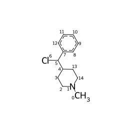 CN1CCC(C(Cl)c2ccccc2)CC1